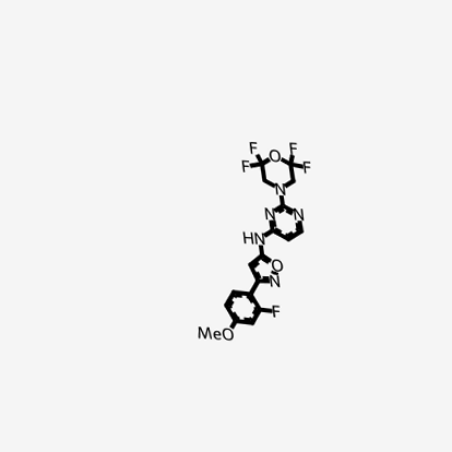 COc1ccc(-c2cc(Nc3ccnc(N4CC(F)(F)OC(F)(F)C4)n3)on2)c(F)c1